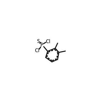 Cc1cccc(P(=S)(Cl)Cl)c1C